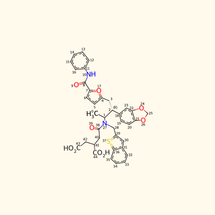 CC([C@H](Cc1ccc(C(=O)Nc2ccccc2)o1)c1ccc2c(c1)OCO2)N(Cc1cc2ccccc2s1)C(=O)CC(CC(=O)O)C(=O)O